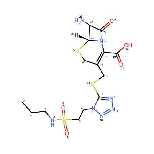 CCCNS(=O)(=O)CCn1nnnc1SCC1=C(C(=O)O)N2C(=O)C(N)[C@H]2SC1